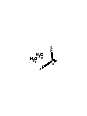 O.O.[F][Pb][F]